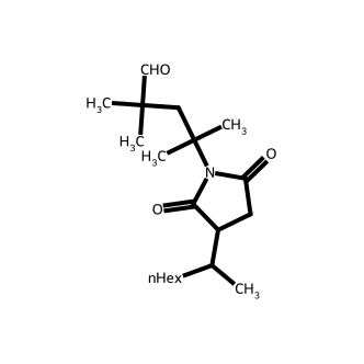 CCCCCCC(C)C1CC(=O)N(C(C)(C)CC(C)(C)C=O)C1=O